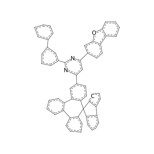 c1ccc(-c2cccc(-c3nc(-c4ccc5c(c4)-c4ccccc4-c4ccccc4C54c5ccccc5-c5ccccc54)cc(-c4ccc5c(c4)oc4ccccc45)n3)c2)cc1